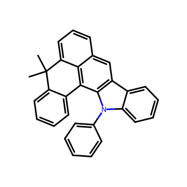 CC1(C)c2ccccc2-c2c3c1cccc3cc1c3ccccc3n(-c3ccccc3)c21